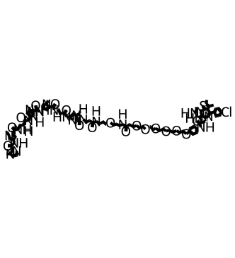 CC(=N)N1C(=N)[C@H](CC(=O)Nc2ccc(OCCOCCOCCOCCOCCOCCC(=O)NCCCOCCCNC(=O)CCNC(=O)c3nc(NC(=O)CCNC(=O)c4cc(NC(=O)c5nc(NC(=O)CCNC(=O)c6cc(NC(=O)c7nccn7C)cn6C)cn5C)cn4C)cn3C)cc2)N=C(c2ccc(Cl)cc2)c2c1sc(C)c2C